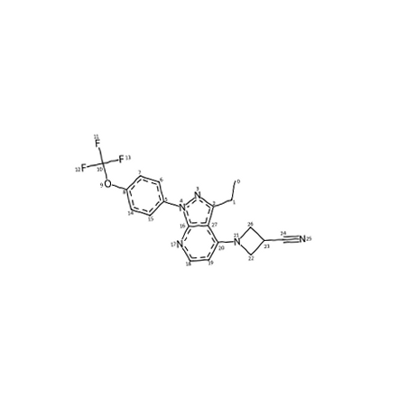 CCc1nn(-c2ccc(OC(F)(F)F)cc2)c2nccc(N3CC(C#N)C3)c12